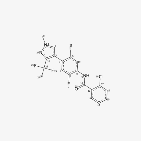 Cn1cc(-c2cc(F)c(NC(=O)c3ccccc3Cl)cc2F)c(C(F)(F)F)n1